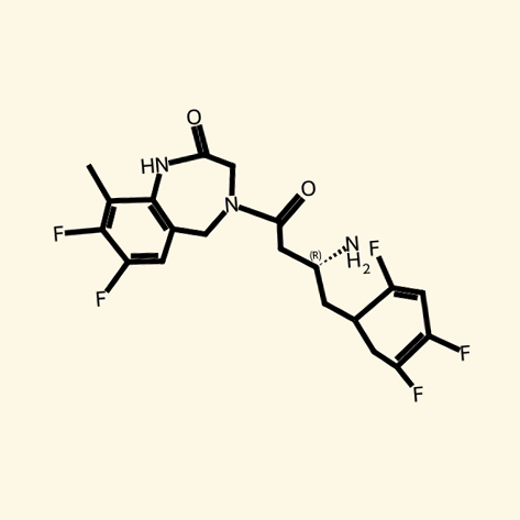 Cc1c(F)c(F)cc2c1NC(=O)CN(C(=O)C[C@H](N)CC1CC(F)=C(F)C=C1F)C2